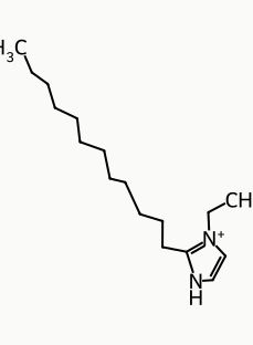 CCCCCCCCCCCCc1[nH]cc[n+]1CC